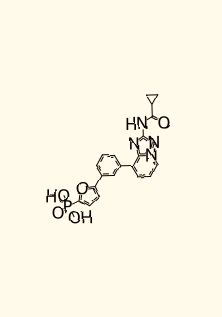 O=C(Nc1nc2c(-c3cccc(-c4ccc(P(=O)(O)O)o4)c3)cccn2n1)C1CC1